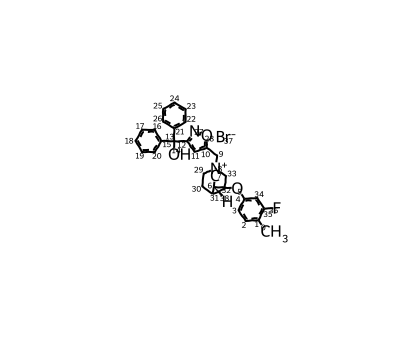 Cc1ccc(O[C@H]2C[N+]3(Cc4cc(C(O)(c5ccccc5)c5ccccc5)no4)CCC2CC3)cc1F.[Br-]